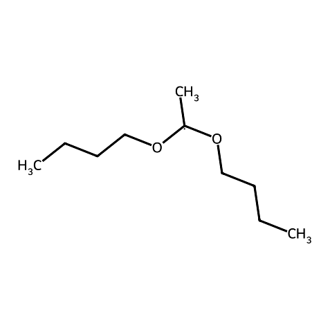 CCCCO[C](C)OCCCC